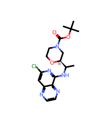 CC(Nc1nc(Cl)cc2nccnc12)[C@@H]1CN(C(=O)OC(C)(C)C)CCO1